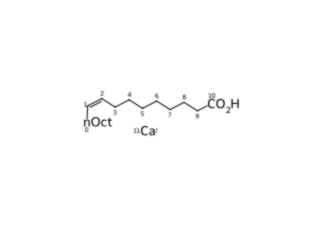 CCCCCCCC/C=C\CCCCCCCC(=O)O.[Ca]